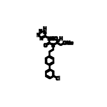 COCC(C(=O)O)N(CCc1ccc(-c2cccc(Cl)c2)cc1)C(=O)Nc1nnn[nH]1